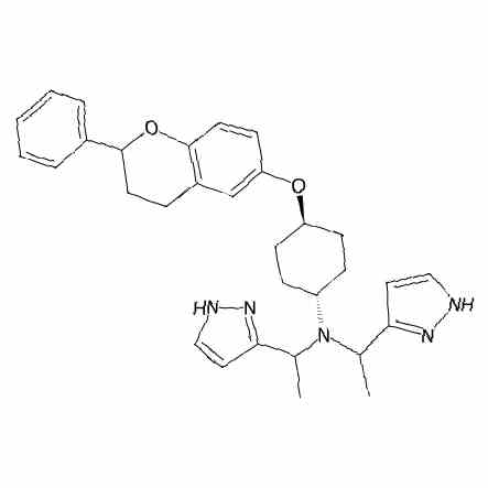 CC(c1cc[nH]n1)N(C(C)c1cc[nH]n1)[C@H]1CC[C@H](Oc2ccc3c(c2)CCC(c2ccccc2)O3)CC1